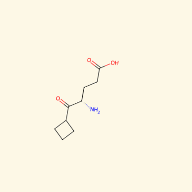 N[C@@H](CCC(=O)O)C(=O)C1CCC1